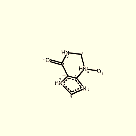 O=C1NC[NH+]([O-])c2nc[nH]c21